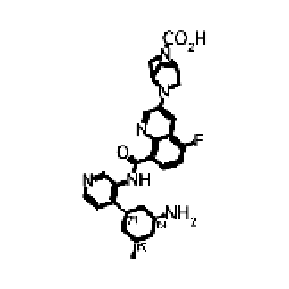 C[C@@H]1C[C@H](N)C[C@H](c2ccncc2NC(=O)c2ccc(F)c3cc(N4CC5CC4CN5C(=O)O)cnc23)C1